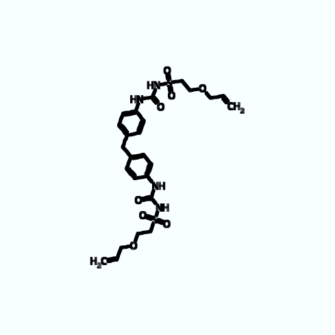 C=CCOCCS(=O)(=O)NC(=O)Nc1ccc(Cc2ccc(NC(=O)NS(=O)(=O)CCOCC=C)cc2)cc1